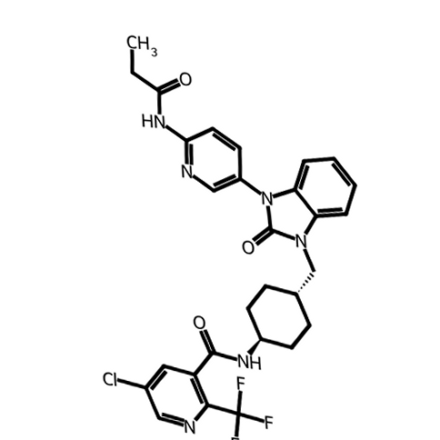 CCC(=O)Nc1ccc(-n2c(=O)n(C[C@H]3CC[C@H](NC(=O)c4cc(Cl)cnc4C(F)(F)F)CC3)c3ccccc32)cn1